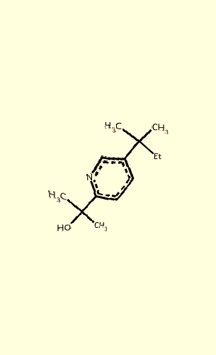 CCC(C)(C)c1ccc(C(C)(C)O)nc1